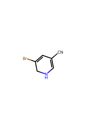 N#CC1=CNCC(Br)=C1